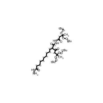 CC(C)(C)OOC(C)(CC(=O)NNC(=O)C(CCCCCCCCCC(=O)NN)C(=O)CC(C)(OOC(C)(C)C)OOC(C)(C)C)OOC(C)(C)C